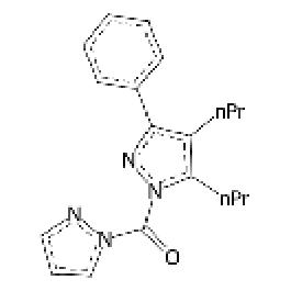 CCCc1c(-c2ccccc2)nn(C(=O)n2cccn2)c1CCC